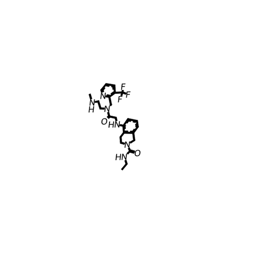 CCNC(=O)N1CCc2c(cccc2NCC(=O)N(CCNC)Cc2ncccc2C(F)(F)F)C1